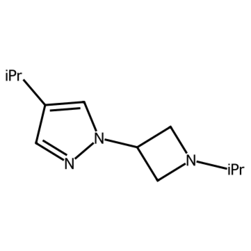 CC(C)c1cnn(C2CN(C(C)C)C2)c1